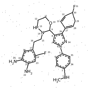 CBc1ccc(-n2cc(C3OCCPN3CCc3cc(N)c(N)cc3F)c(C3=CCC(F)C=C3)n2)cc1